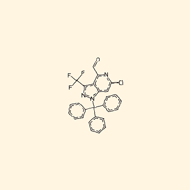 O=Cc1nc(Cl)cc2c1c(C(F)(F)F)nn2C(c1ccccc1)(c1ccccc1)c1ccccc1